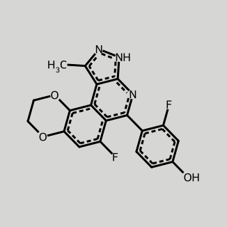 Cc1n[nH]c2nc(-c3ccc(O)cc3F)c3c(F)cc4c(c3c12)OCCO4